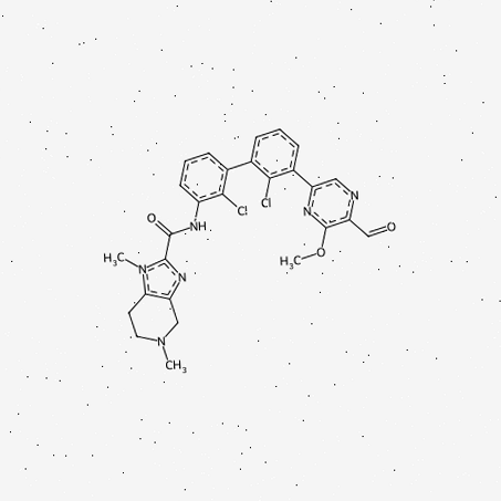 COc1nc(-c2cccc(-c3cccc(NC(=O)c4nc5c(n4C)CCN(C)C5)c3Cl)c2Cl)cnc1C=O